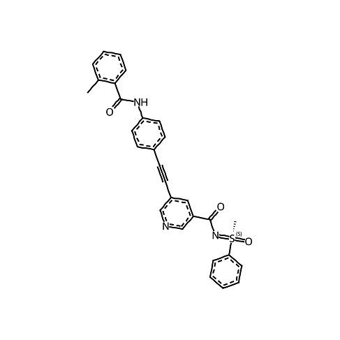 Cc1ccccc1C(=O)Nc1ccc(C#Cc2cncc(C(=O)N=[S@@](C)(=O)c3ccccc3)c2)cc1